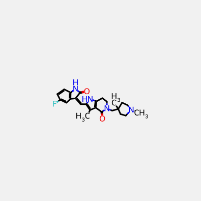 Cc1c(/C=C2\C(=O)Nc3ccc(F)cc32)[nH]c2c1C(=O)N(CC1(C)CCN(C)CC1)CC2